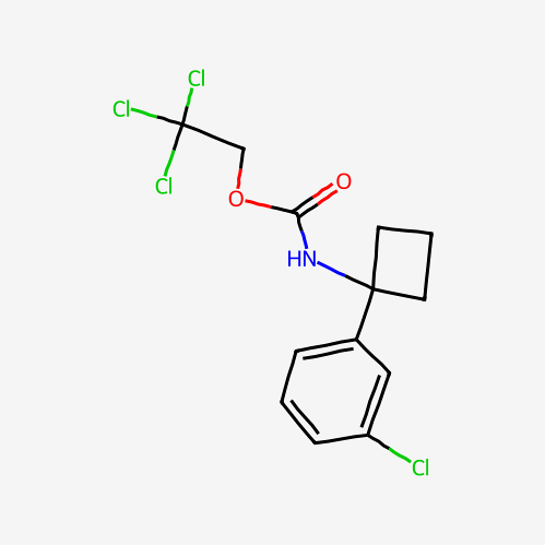 O=C(NC1(c2cccc(Cl)c2)CCC1)OCC(Cl)(Cl)Cl